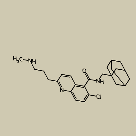 CNCCCc1ccc2c(C(=O)NCC34CC5CC(CC(C5)C3)C4)c(Cl)ccc2n1